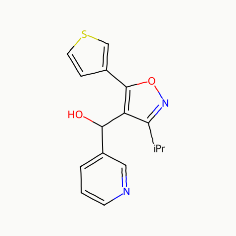 CC(C)c1noc(-c2ccsc2)c1C(O)c1cccnc1